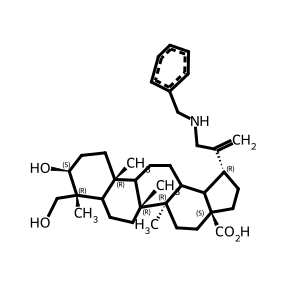 C=C(CNCc1ccccc1)[C@@H]1CC[C@]2(C(=O)O)CC[C@]3(C)C(CCC4[C@@]5(C)CC[C@H](O)[C@@](C)(CO)C5CC[C@]43C)C12